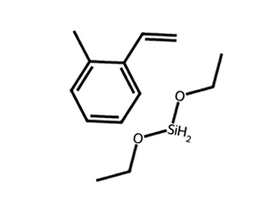 C=Cc1ccccc1C.CCO[SiH2]OCC